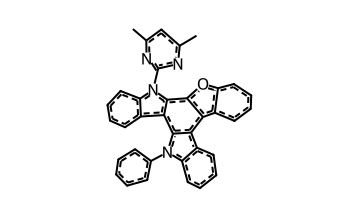 Cc1cc(C)nc(-n2c3ccccc3c3c2c2oc4ccccc4c2c2c4ccccc4n(-c4ccccc4)c23)n1